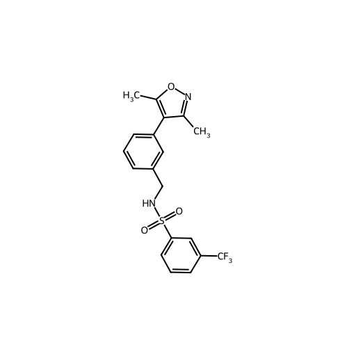 Cc1noc(C)c1-c1cccc(CNS(=O)(=O)c2cccc(C(F)(F)F)c2)c1